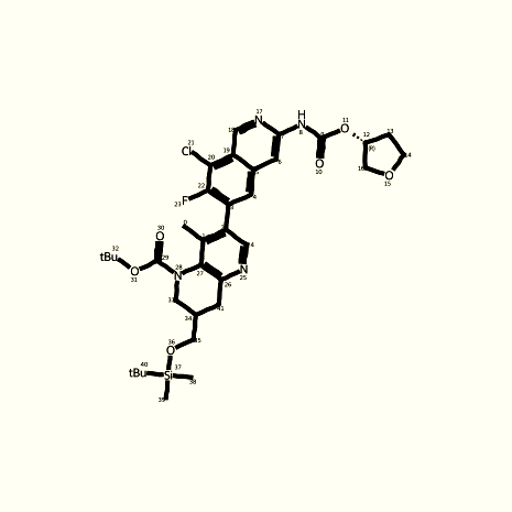 Cc1c(-c2cc3cc(NC(=O)O[C@@H]4CCOC4)ncc3c(Cl)c2F)cnc2c1N(C(=O)OC(C)(C)C)CC(CO[Si](C)(C)C(C)(C)C)C2